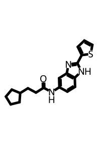 O=C(CCC1CCCC1)Nc1ccc2[nH]c(-c3cccs3)nc2c1